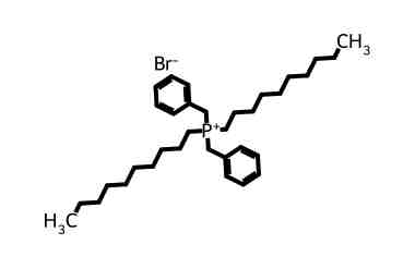 CCCCCCCCCC[P+](CCCCCCCCCC)(Cc1ccccc1)Cc1ccccc1.[Br-]